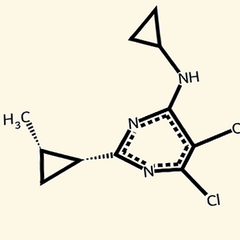 Cc1c(Cl)nc([C@@H]2C[C@@H]2C)nc1NC1CC1